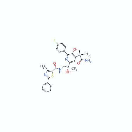 Cc1nc(-c2ccccc2)sc1C(=O)NC[C@](O)(c1cc2c(c(-c3ccc(F)cc3)n1)OC[C@]2(C)C(N)=O)C(F)(F)F